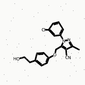 Cc1nn(-c2cccc(Cl)c2)c(COc2ccc(CCO)cc2)c1C#N